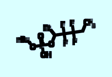 CCCCOP(=O)(O)OC(CC)C(F)(F)C(F)(F)CC(F)(F)F